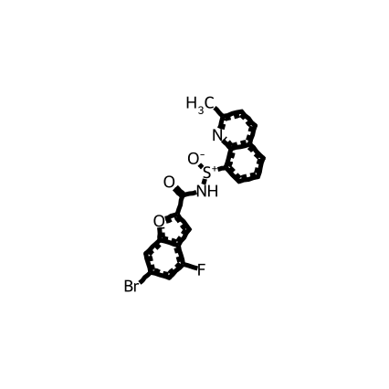 Cc1ccc2cccc([S+]([O-])NC(=O)c3cc4c(F)cc(Br)cc4o3)c2n1